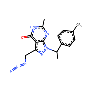 Cc1nc2c(c(CN=[N+]=[N-])nn2C(C)c2ccc(C(F)(F)F)cc2)c(=O)[nH]1